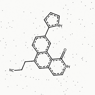 N#CCCc1cc2cc[nH]c(=O)c2c2cc(-c3ccc[nH]3)ccc12